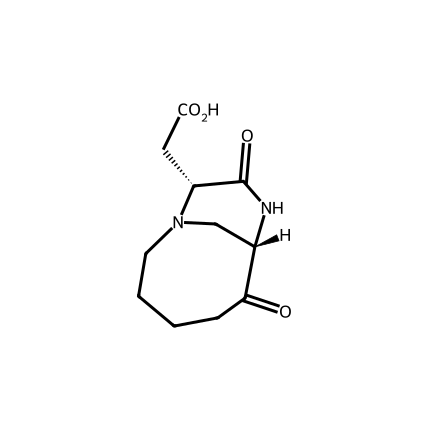 O=C(O)C[C@@H]1C(=O)N[C@H]2CN1CCCCC2=O